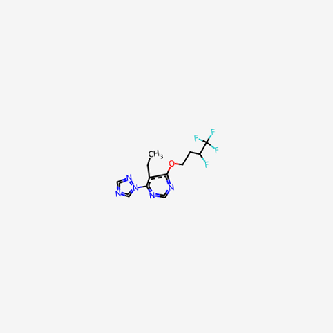 CCc1c(OCCC(F)C(F)(F)F)ncnc1-n1cncn1